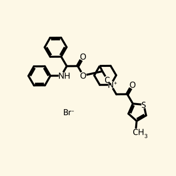 Cc1csc(C(=O)C[N+]23CCC(CC2)C(OC(=O)C(Nc2ccccc2)c2ccccc2)C3)c1.[Br-]